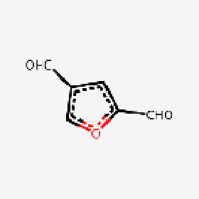 O=Cc1coc(C=O)c1